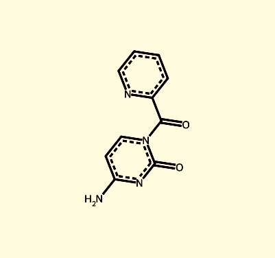 Nc1ccn(C(=O)c2ccccn2)c(=O)n1